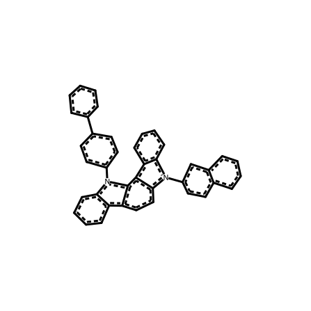 c1ccc(-c2ccc(-n3c4ccccc4c4ccc5c(c6ccccc6n5-c5ccc6ccccc6c5)c43)cc2)cc1